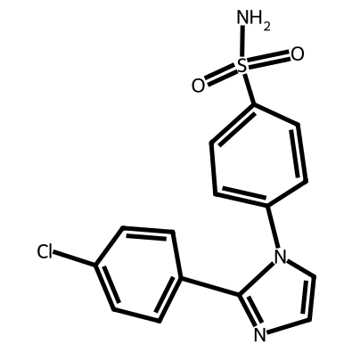 NS(=O)(=O)c1ccc(-n2ccnc2-c2ccc(Cl)cc2)cc1